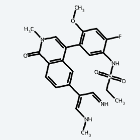 CCS(=O)(=O)Nc1cc(-c2cn(C)c(=O)c3ccc(/C(C=N)=C/NC)cc23)c(OC)cc1F